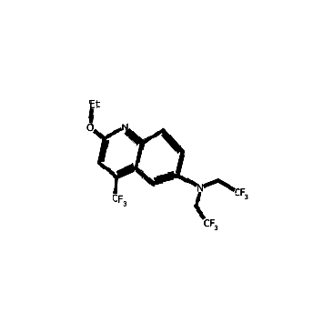 CCOc1cc(C(F)(F)F)c2cc(N(CC(F)(F)F)CC(F)(F)F)ccc2n1